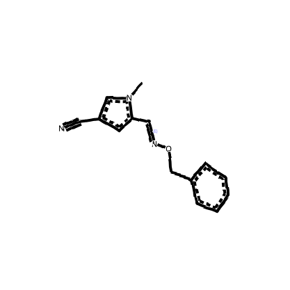 Cn1cc(C#N)cc1/C=N/OCc1ccccc1